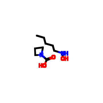 CCCCCNO.O=C(O)N1CCC1